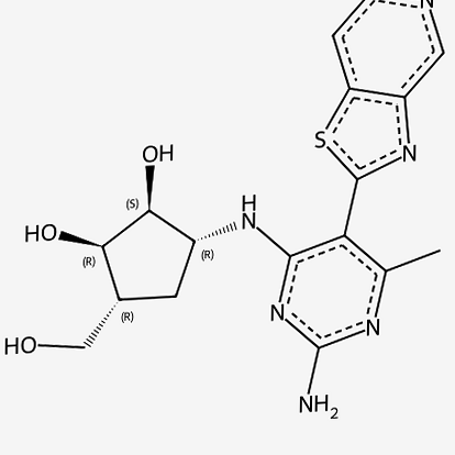 Cc1nc(N)nc(N[C@@H]2C[C@H](CO)[C@@H](O)[C@H]2O)c1-c1nc2cnccc2s1